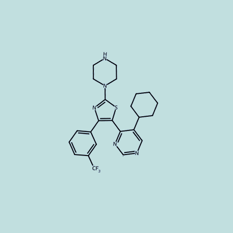 FC(F)(F)c1cccc(-c2nc(N3CCNCC3)sc2-c2n[c]ncc2C2CCCCC2)c1